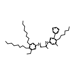 CCCCCCCCc1cc(N=CC(C)=Nc2cc(C)c(CCCCCC)c(-c3ccccc3)c2)cc(CC)c1CCCCCCCC